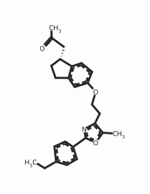 CCc1ccc(-c2nc(CCOc3ccc4c(c3)CC[C@@H]4CC(C)=O)c(C)o2)cc1